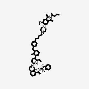 C=Cc1nc(N2CCc3cccc(C(=C)Nc4nc5ccccc5s4)c3C2)ccc1-c1cccc(Cc2ccc(CCCCN3CCN(c4cc5c(=C)n(C(C)CCC)c(=C)c5cc4F)CC3)cc2)c1C